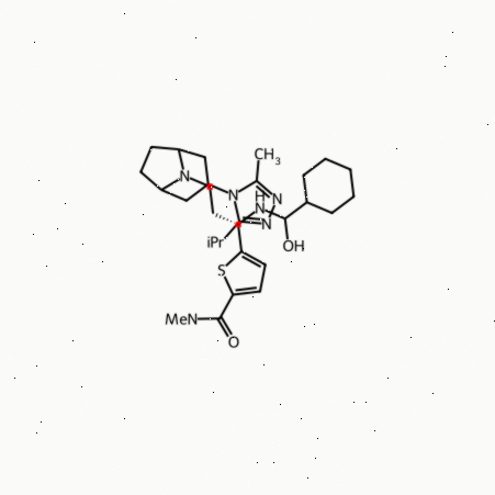 CNC(=O)c1ccc([C@H](CCN2C3CCC2CC(n2c(C)nnc2C(C)C)C3)NC(O)C2CCCCC2)s1